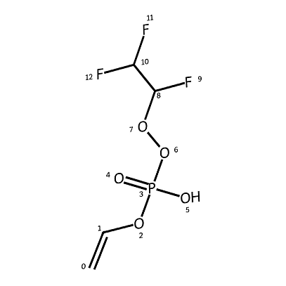 C=COP(=O)(O)OOC(F)C(F)F